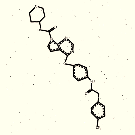 O=C(Cc1ccc(C(F)(F)F)cc1)Nc1ccc(Oc2ncnc3c2ccn3C(=O)NC2CCOCC2)cc1